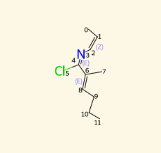 C\C=C/N=C(Cl)\C(C)=C\CCC